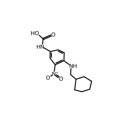 O=C(O)Nc1ccc(NCC2CCCCC2)c([N+](=O)[O-])c1